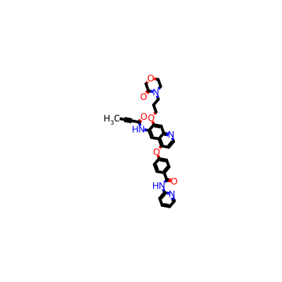 CC#CC(=O)Nc1cc2c(Oc3ccc(C(=O)Nc4ccccn4)cc3)ccnc2cc1OCCCN1CCOCC1=O